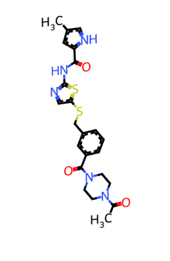 CC(=O)N1CCN(C(=O)c2cccc(CSc3cnc(NC(=O)c4cc(C)c[nH]4)s3)c2)CC1